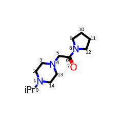 CC(C)N1CCN(CC(=O)N2CCCC2)CC1